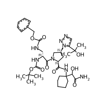 CC(C)(C)OC(=O)N[C@H](CNC(=O)OCc1ccccc1)C(=O)N1C[C@@H](n2nncc2C(C)(C)O)C[C@H]1C(=O)NC1(C(O)C(N)=O)CCCCC1